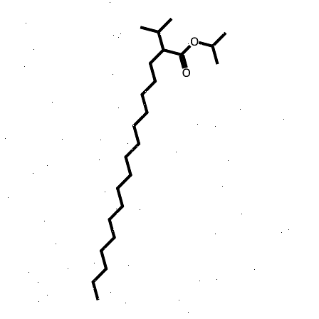 CCCCCCCCCCCCCCCCC(C(=O)OC(C)C)C(C)C